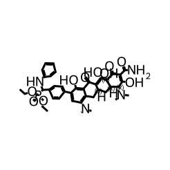 CCOP(=O)(OCC)C(Nc1ccccc1)c1ccc(-c2cc(N(C)C)c3c(c2O)C(=O)C2=C(O)[C@@]4(O)C(=O)C(C(N)=O)=C(O)[C@H](N(C)C)[C@H]4C[C@H]2C3)cc1